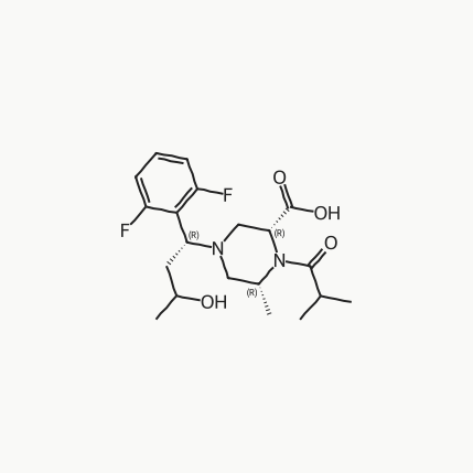 CC(O)C[C@H](c1c(F)cccc1F)N1C[C@@H](C)N(C(=O)C(C)C)[C@@H](C(=O)O)C1